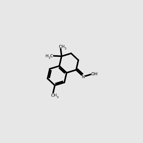 Cc1ccc2c(c1)C(=NO)CCC2(C)C